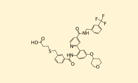 O=C(O)CCSCc1cccc(C(=O)Nc2ccc(OC3CCOCC3)cc2-c2cc(C(=O)NCc3cccc(C(F)(F)F)c3)ccn2)c1